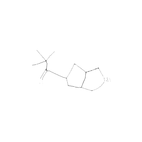 CC(C)(C)C(=O)C1CC2CNCC2C1